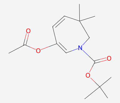 CC(=O)OC1=CN(C(=O)OC(C)(C)C)CC(C)(C)C=C1